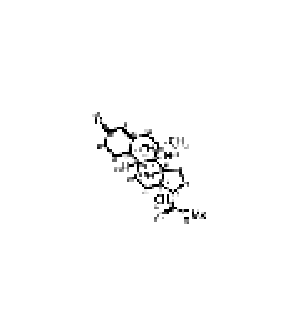 COC(=O)[C@H]1CC[C@H]2[C@@H]3[C@@H](C)CC4=CC(=O)CC[C@]4(C)[C@H]3CC[C@]12C